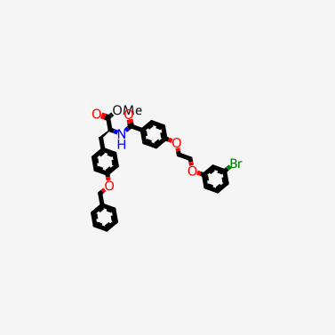 COC(=O)[C@H](Cc1ccc(OCc2ccccc2)cc1)NC(=O)c1ccc(OCCOc2cccc(Br)c2)cc1